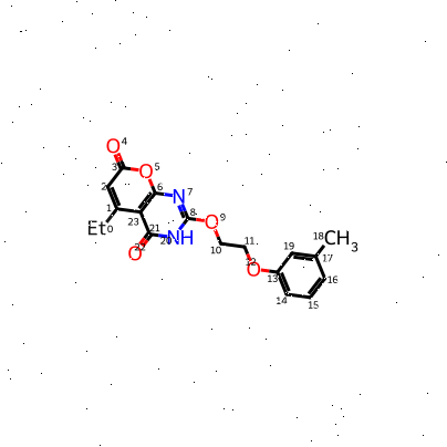 CCc1cc(=O)oc2nc(OCCOc3cccc(C)c3)[nH]c(=O)c12